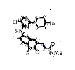 CNC(=O)/C=C/c1cc2cc(Nc3nc(N4CCC(I)CC4)ncc3Cl)ccc2n(C)c1=O